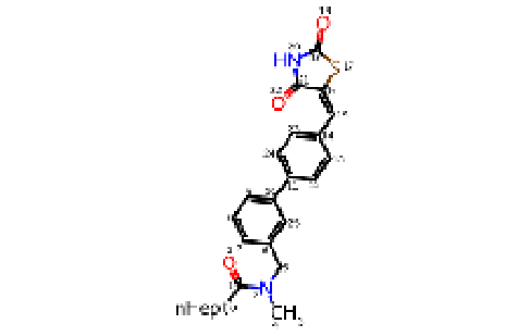 CCCCCCCC(=O)N(C)Cc1cccc(-c2ccc(/C=C3/SC(=O)NC3=O)cc2)c1